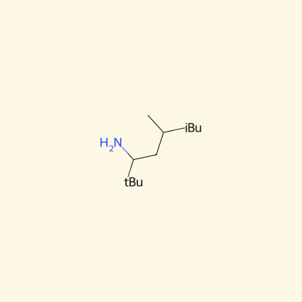 CCC(C)C(C)CC(N)C(C)(C)C